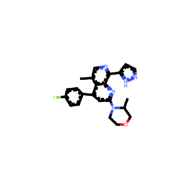 Cc1cnc(-c2ccn[nH]2)c2nc(N3CCOCC3C)cc(-c3ccc(F)cc3)c12